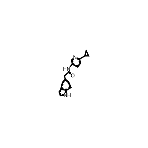 O=C(Cc1ccc2[nH]ccc2c1)Nc1ccc(C2CC2)nc1